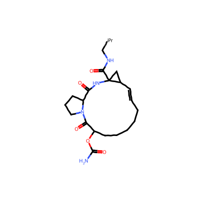 CC(C)CNC(=O)C12CC1/C=C/CCCCCC(OC(N)=O)C(=O)N1CCCC1C(=O)N2